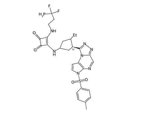 CCC1CC(Nc2c(NCCC(F)(F)P)c(=O)c2=O)C[C@@H]1c1nnc2cnc3c(ccn3S(=O)(=O)c3ccc(C)cc3)n12